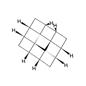 C1[C@@H]2[C@@H]3C[C@@H]4[C@@H]5C[C@@H]6[C@@H]7C[C@@H]8[C@H]1[C@]21[C@]43[C@]65[C@@]871